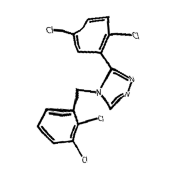 Clc1ccc(Cl)c(-c2nncn2Cc2cccc(Cl)c2Cl)c1